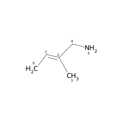 [CH2]/C=C(\C)CN